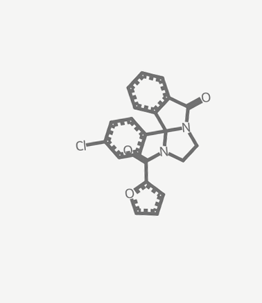 O=C(c1ccco1)N1CCN2C(=O)c3ccccc3C12c1ccc(Cl)cc1